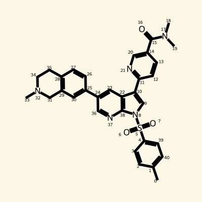 Cc1ccc(S(=O)(=O)n2cc(-c3ccc(C(=O)N(C)C)cn3)c3cc(-c4ccc5c(c4)CN(C)CC5)cnc32)cc1